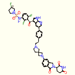 O=C1CCC(N2Cc3cc(N4CC5(CCN(CCc6ccc(-c7cnc8[nH]cc(C(=O)c9c(F)ccc(NS(=O)(=O)N%10CC[C@@H](F)C%10)c9F)c8c7)cc6)C5)C4)ccc3C2=O)C(=O)N1